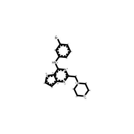 Brc1cccc(Nc2nc(CN3CCOCC3)nc3ccsc23)c1